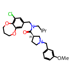 COc1cccc(CN2CC[C@@H](C(=O)N(Cc3cc(Cl)c4c(c3)OCCCO4)CC(C)C)C2)c1